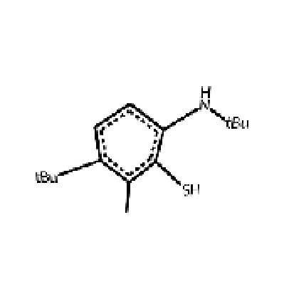 Cc1c(C(C)(C)C)ccc(NC(C)(C)C)c1S